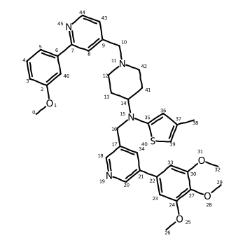 COc1cccc(-c2cc(CN3CCC(N(Cc4cncc(-c5cc(OC)c(OC)c(OC)c5)c4)c4cc(C)cs4)CC3)ccn2)c1